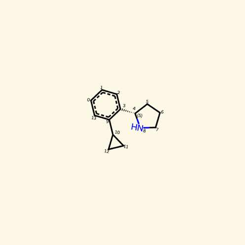 c1ccc([C@@H]2CCCN2)c(C2CC2)c1